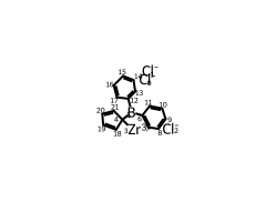 [Cl-].[Cl-].[Cl-].[Zr+3][C]1(B(c2ccccc2)c2ccccc2)C=CC=C1